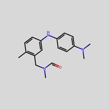 Cc1ccc(Nc2ccc(N(C)C)cc2)cc1CN(C)C=O